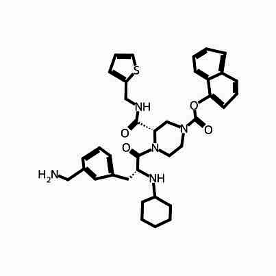 NCc1cccc(C[C@@H](NC2CCCCC2)C(=O)N2CCN(C(=O)Oc3cccc4ccccc34)C[C@H]2C(=O)NCc2cccs2)c1